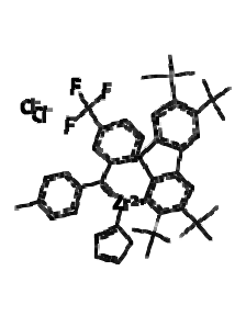 Cc1ccc(/[C](c2cccc(C(F)(F)F)c2)=[Zr+2](\[C]2=CC=CC2)[c]2c3c(cc(C(C)(C)C)c2C(C)(C)C)-c2cc(C(C)(C)C)c(C(C)(C)C)cc2C3)cc1.[Cl-].[Cl-]